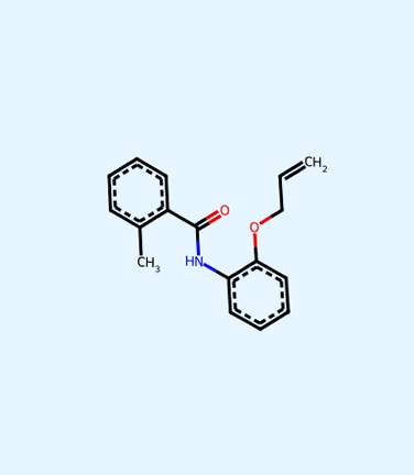 C=CCOc1ccccc1NC(=O)c1ccccc1C